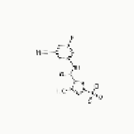 Cn1cc(S(=O)(=O)Cl)cc1C(=O)Nc1cc(F)cc(C#N)c1